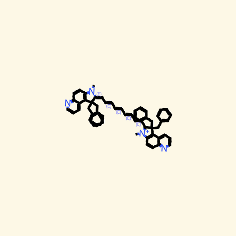 CN1/C(=C/C=C/C=C/C=C/C=C/C2=[N+](C)c3ccc4ncccc4c3C2(Cc2ccccc2)Cc2ccccc2)C(Cc2ccccc2)(Cc2ccccc2)c2c1ccc1ncccc21